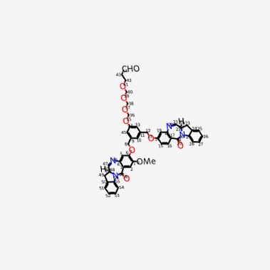 COc1cc2c(cc1OCc1cc(COc3ccc4c(c3)N=C[C@@H]3Cc5ccccc5N3C4=O)cc(OCOCOCOCCC=O)c1)N=C[C@@H]1Cc3ccccc3N1C2=O